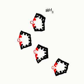 B.c1ccoc1.c1ccoc1.c1ccoc1.c1ccoc1